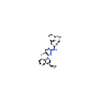 CN1Cc2cc(Nc3ncc(Cl)c(-n4cc(C(=O)O)c5ccccc54)n3)cc3c2C(CCC3)C1